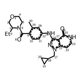 CCC1COCCN1C(=O)c1ccc(Nc2nn(CC3CC3)c3cc[nH]c(=O)c23)cc1C